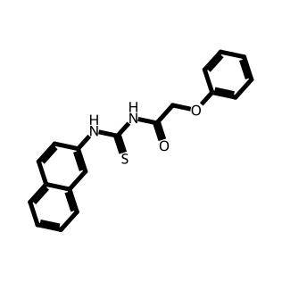 O=C(COc1ccccc1)NC(=S)Nc1ccc2ccccc2c1